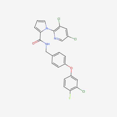 O=C(NCc1ccc(Oc2ccc(F)c(Cl)c2)cc1)c1cccn1-c1ncc(Cl)cc1Cl